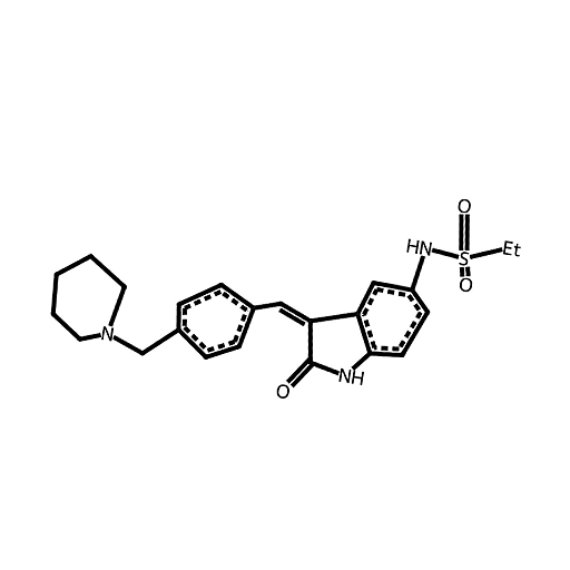 CCS(=O)(=O)Nc1ccc2c(c1)C(=Cc1ccc(CN3CCCCC3)cc1)C(=O)N2